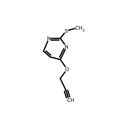 C#CCOc1ccnc(SC)n1